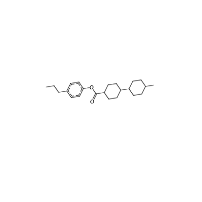 CCCc1ccc(OC(=O)C2CCC(C3CCC(C)CC3)CC2)cc1